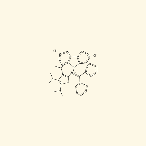 CC(C)C1=C(C(C)C)C(C(C)C)=[C]([Zr+2](=[C](c2ccccc2)c2ccccc2)[CH]2c3ccccc3-c3ccccc32)C1.[Cl-].[Cl-]